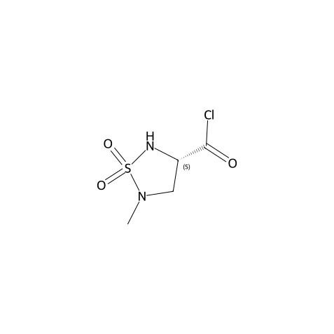 CN1C[C@@H](C(=O)Cl)NS1(=O)=O